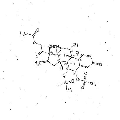 C=C1C[C@H]2[C@@H]3[C@@H](OS(C)(=O)=O)[C@@H](OS(C)(=O)=O)C4=CC(=O)C=C[C@]4(C)[C@@]3(F)[C@@H](O)C[C@]2(C)[C@@]1(O)C(=O)COC(C)=O